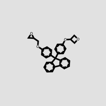 c1ccc2c(c1)-c1ccccc1C2(c1ccc(OCC2CO2)cc1)c1ccc(OC2COC2)cc1